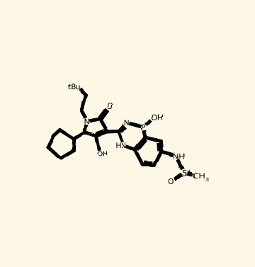 C[S+]([O-])Nc1ccc2c(c1)P(O)N=C(C1=C(O)C(C3CCCCC3)N(CCC(C)(C)C)C1=O)N2